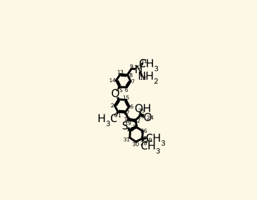 Cc1cc(Oc2ccc(CN(C)N)cc2)ccc1-c1sc2c(c1C(=O)O)CC(C)(C)CC2